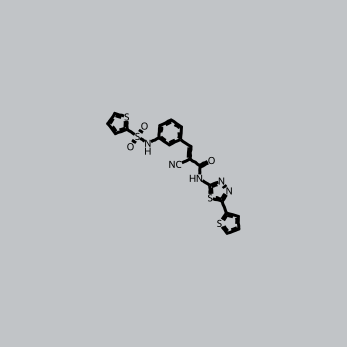 N#C/C(=C\c1cccc(NS(=O)(=O)c2cccs2)c1)C(=O)Nc1nnc(-c2cccs2)s1